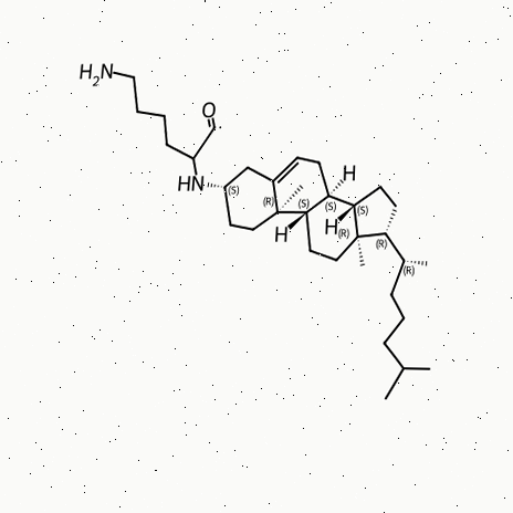 CC(C)CCC[C@@H](C)[C@H]1CC[C@H]2[C@@H]3CC=C4C[C@@H](NC([C]=O)CCCCN)CC[C@]4(C)[C@H]3CC[C@]12C